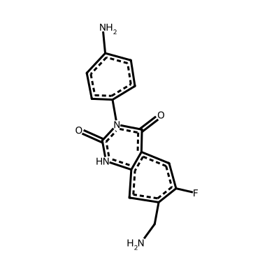 NCc1cc2[nH]c(=O)n(-c3ccc(N)cc3)c(=O)c2cc1F